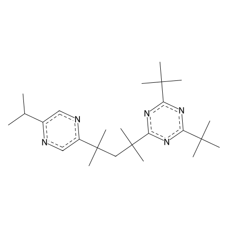 CC(C)c1cnc(C(C)(C)CC(C)(C)c2nc(C(C)(C)C)nc(C(C)(C)C)n2)cn1